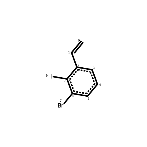 C=Cc1cccc(Br)c1I